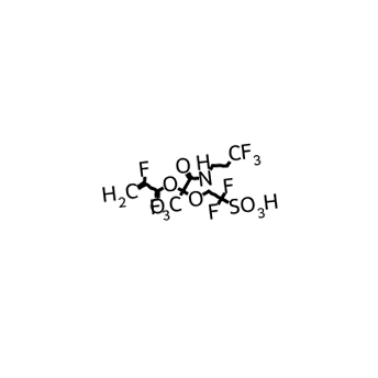 C=C(F)C(=O)OC(OCC(F)(F)S(=O)(=O)O)(C(=O)NCCC(F)(F)F)C(F)(F)F